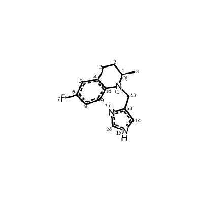 C[C@@H]1CCc2cc(F)ccc2N1Cc1c[nH]cn1